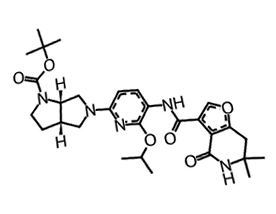 CC(C)Oc1nc(N2C[C@@H]3CCN(C(=O)OC(C)(C)C)[C@@H]3C2)ccc1NC(=O)c1coc2c1C(=O)NC(C)(C)C2